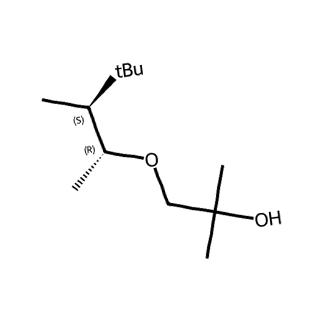 C[C@H]([C@@H](C)OCC(C)(C)O)C(C)(C)C